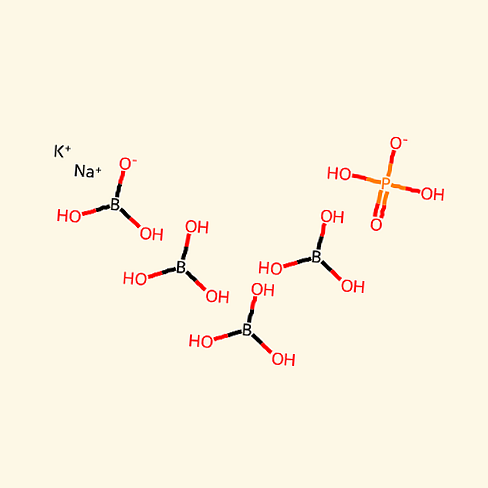 O=P([O-])(O)O.OB(O)O.OB(O)O.OB(O)O.[K+].[Na+].[O-]B(O)O